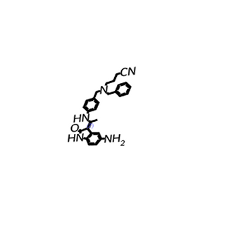 C/C(Nc1ccc(CN(CCCC#N)Cc2ccccc2)cc1)=C1/C(=O)Nc2ccc(N)cc21